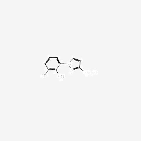 CCOC(=O)c1ccn(-c2cccc(Cl)c2C#N)n1